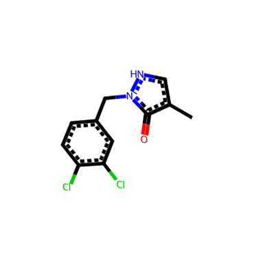 Cc1c[nH]n(Cc2ccc(Cl)c(Cl)c2)c1=O